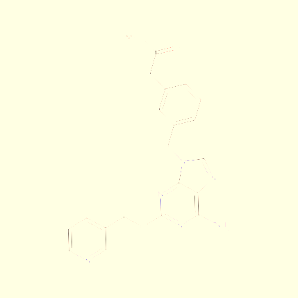 COC(=O)Cc1cccc(Cn2cnc3c(N)nc(OCc4cccnc4)nc32)c1